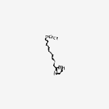 CCCCCCCCCCCCCCCCCC1=NCCN1